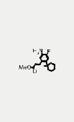 COC(=O)CCc1cc(N)c(F)cc1C1(C)CCCCC1